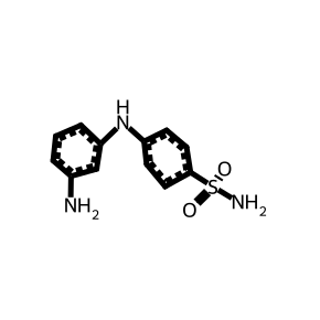 Nc1cccc(Nc2ccc(S(N)(=O)=O)cc2)c1